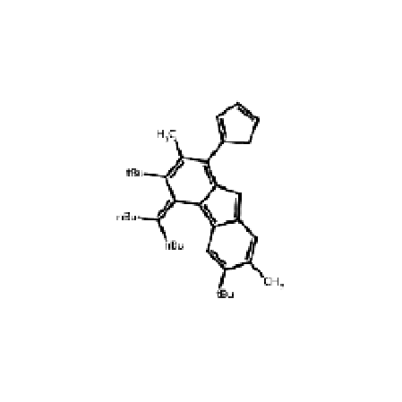 CCCCC(CCCC)=c1c(C(C)(C)C)c(C)c(C2=CC=CC2)c2c1=c1cc(C(C)(C)C)c(C)cc1=C2